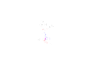 Cc1c(COc2ccc(CNCCNC(=O)NC(COC(C)(C)C)C(=O)OC(C)(C)C)c(OCc3cccc(C#N)c3)c2)cccc1-c1ccccc1